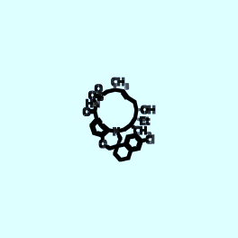 CC[C@@H]1[C@@H](C)CN2C[C@@]3(CCCc4cc(Cl)ccc43)COc3ccc(cc32)C(=O)NS(=O)(=O)C[C@H](C)/C=C/C[C@@H]1O